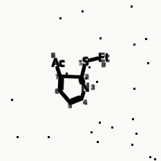 CCSc1ncccc1C(C)=O